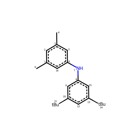 Cc1cc(C)cc(Nc2cc(C(C)(C)C)cc(C(C)(C)C)c2)c1